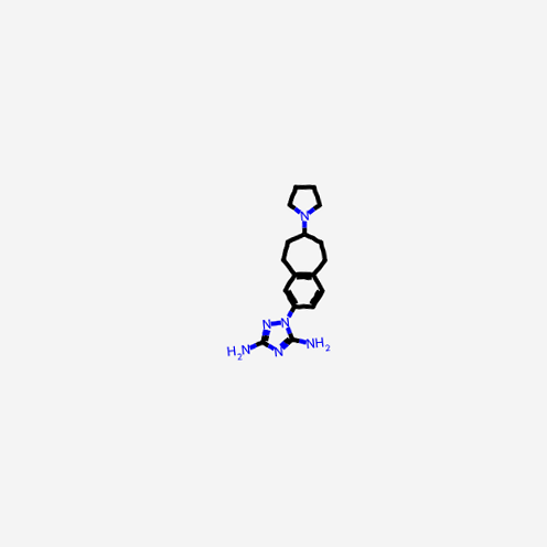 Nc1nc(N)n(-c2ccc3c(c2)CCC(N2CCCC2)CC3)n1